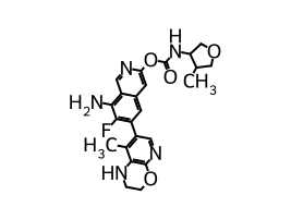 Cc1c(-c2cc3cc(OC(=O)NC4COCC4C)ncc3c(N)c2F)cnc2c1NCCO2